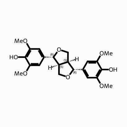 COc1cc([C@@H]2OC[C@@H]3[C@H]2CO[C@H]3c2cc(OC)c(O)c(OC)c2)cc(OC)c1O